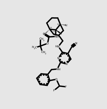 CC(C)(C)OC(=O)N[C@@H]1[C@@H]2CCC[C@H]1CC(CNc1nc(NCc3ccccc3OC(F)F)ncc1C#N)C2